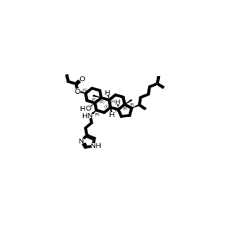 CCC(=O)O[C@H]1CC[C@]2(C)[C@H]3CC[C@]4(C)[C@@H](C(C)CCCC(C)C)CC[C@H]4[C@@H]3C[C@@H](NCCc3c[nH]cn3)[C@@]2(O)C1